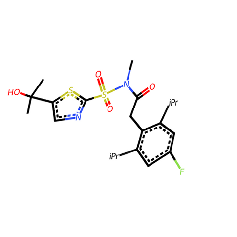 CC(C)c1cc(F)cc(C(C)C)c1CC(=O)N(C)S(=O)(=O)c1ncc(C(C)(C)O)s1